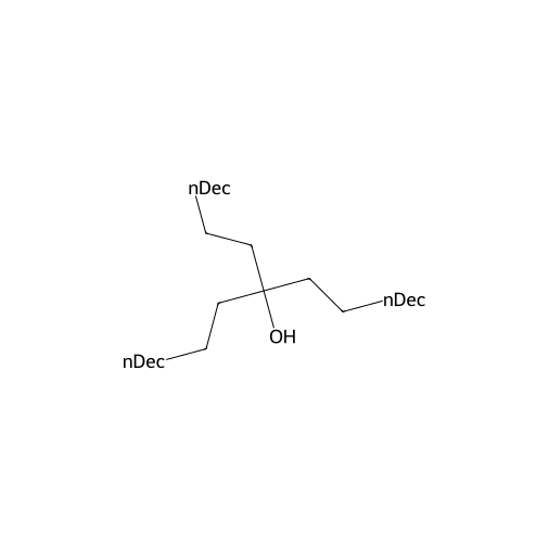 CCCCCCCCCCCCC(O)(CCCCCCCCCCCC)CCCCCCCCCCCC